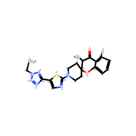 CC1C(=O)c2c(Cl)cccc2OC12CCN(c1ncc(-c3nnn(CC(=O)O)n3)s1)CC2